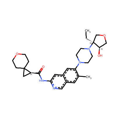 CC[C@]1(N2CCN(c3cc4cc(NC(=O)[C@H]5CC56CCOCC6)ncc4cc3C)CC2)COC[C@H]1O